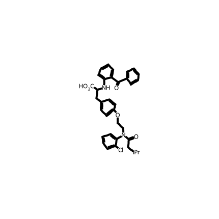 CC(C)CC(=O)N(CCOc1ccc(CC(Nc2ccccc2C(=O)c2ccccc2)C(=O)O)cc1)c1ccccc1Cl